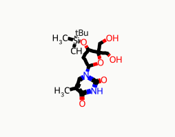 Cc1cn(C2CC(O[Si](C)(C)C(C)(C)C)C(CO)(CO)O2)c(=O)[nH]c1=O